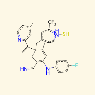 C=C(c1cc(C)ccn1)C1(Cc2ccnc(C(F)(F)F)c2)CC(C=N)=C(Nc2ccc(F)cc2)C=C1CCNS